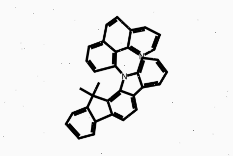 CC1(C)c2ccccc2-c2ccc3c4ccccc4n(-c4cccc5ccc6cccnc6c45)c3c21